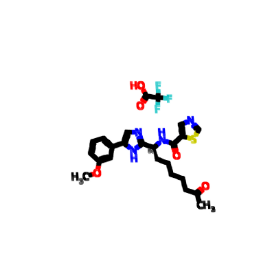 COc1cccc(-c2cnc([C@H](CCCCCC(C)=O)NC(=O)c3cncs3)[nH]2)c1.O=C(O)C(F)(F)F